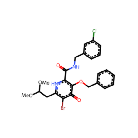 COC(Cc1[nH]c(C(=O)NCc2cccc(Cl)c2)c(OCc2ccccc2)c(=O)c1Br)OC